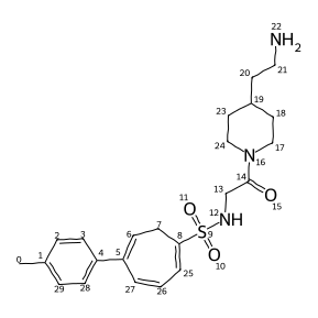 Cc1ccc(C2=CCC(S(=O)(=O)NCC(=O)N3CCC(CCN)CC3)=CC=C2)cc1